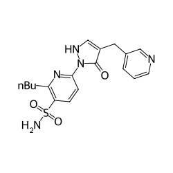 CCCCc1nc(-n2[nH]cc(Cc3cccnc3)c2=O)ccc1S(N)(=O)=O